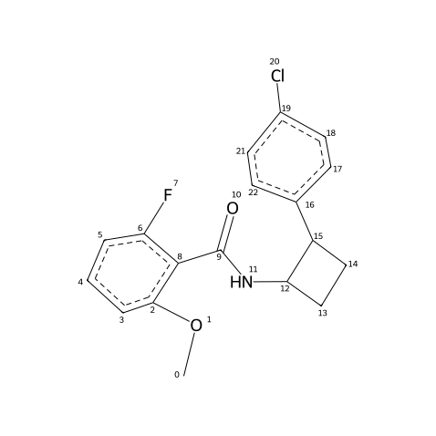 COc1cccc(F)c1C(=O)NC1CCC1c1ccc(Cl)cc1